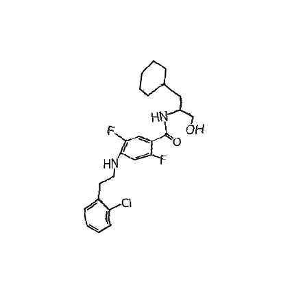 O=C(NC(CO)CC1CCCCC1)c1cc(F)c(NCCc2ccccc2Cl)cc1F